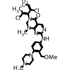 C/C=C(Cl)\C(=C(/C)Cl)N1CN(C)c2nc(Nc3ccc(N4CCN(C)CC4)c(COC)c3)ncc2C1=O